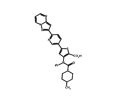 CC1CCC(C(=O)N(c2cc(-c3ccc(-c4cc5ncccn5n4)nc3)sc2C(=O)O)C(C)C)CC1